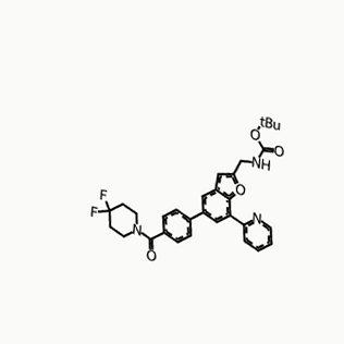 CC(C)(C)OC(=O)NCc1cc2cc(-c3ccc(C(=O)N4CCC(F)(F)CC4)cc3)cc(-c3ccccn3)c2o1